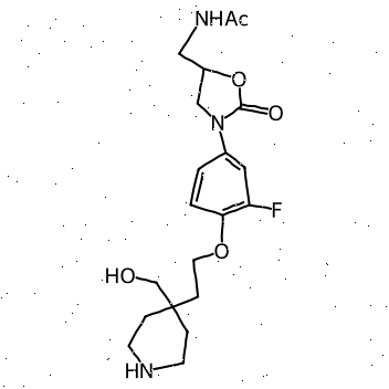 CC(=O)NCC1CN(c2ccc(OCCC3(CO)CCNCC3)c(F)c2)C(=O)O1